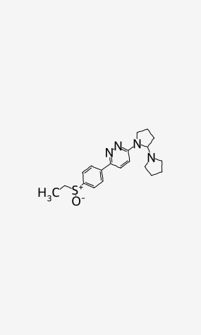 CC[S+]([O-])c1ccc(-c2ccc(N3CCCC3N3CCCC3)nn2)cc1